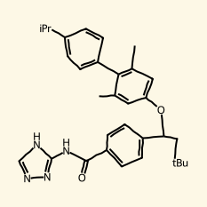 Cc1cc(OC(CC(C)(C)C)c2ccc(C(=O)Nc3nnc[nH]3)cc2)cc(C)c1-c1ccc(C(C)C)cc1